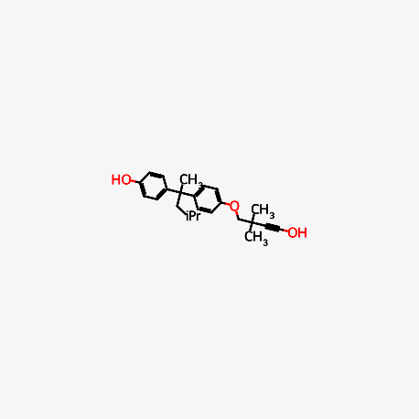 CC(C)CC(C)(c1ccc(O)cc1)c1ccc(OCC(C)(C)C#CO)cc1